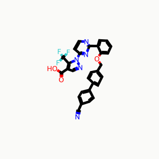 N#Cc1ccc(-c2ccc(COc3ccccc3-c3nccc(-n4ncc(C(=O)O)c4C(F)(F)F)n3)cc2)cc1